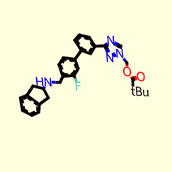 CC(C)(C)C(=O)OCn1cnc(-c2cccc(-c3ccc(CNC4Cc5ccccc5C4)c(F)c3)c2)n1